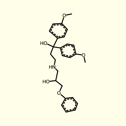 COc1ccc(C(O)(CCNCC(O)COc2ccccc2)c2ccc(OC)cc2)cc1